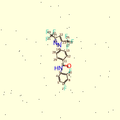 O=C(Nc1ccc(F)cc1F)c1ccc(-n2nc(C(F)(F)F)cc2C(F)(F)F)cc1